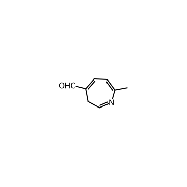 CC1=CC=C(C=O)CC=N1